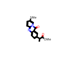 COC(=O)C(C)c1ccc2nc3ccc(SC)cn3c(=O)c2c1